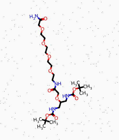 CC(C)(C)OC(=O)NCC(CNC(=O)OC(C)(C)C)OCC(=O)NCCOCCOCCOCCOCC(N)=O